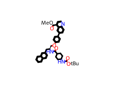 COC(=O)c1ccnc2ccc(-c3ccc(OC[C@H](Cc4ccc5ccccc5c4)NC(=O)C4CCC(NC(=O)OC(C)(C)C)CC4)cc3)cc12